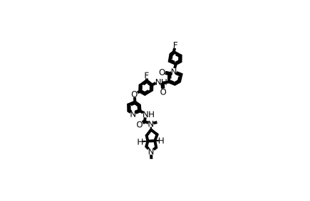 CN1C[C@H]2C[C@H](N(C)C(=O)Nc3cc(Oc4ccc(NC(=O)c5cccn(-c6ccc(F)cc6)c5=O)c(F)c4)ccn3)C[C@H]2C1